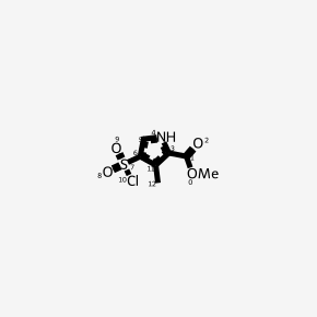 COC(=O)c1[nH]cc(S(=O)(=O)Cl)c1C